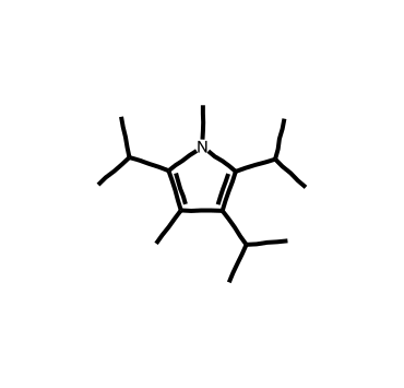 Cc1c(C(C)C)c(C(C)C)n(C)c1C(C)C